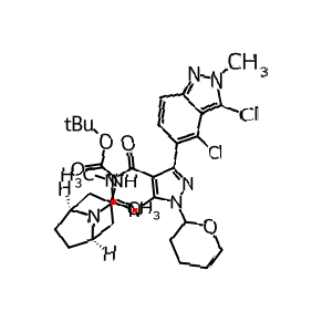 Cn1nc2ccc(-c3nn(C4CCCCO4)c4nc(N5[C@@H]6CC[C@H]5C[C@@](C)(NC(=O)OC(C)(C)C)C6)n(C)c(=O)c34)c(Cl)c2c1Cl